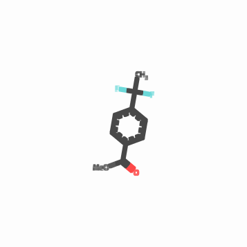 COC(=O)c1ccc(C(C)(F)F)cc1